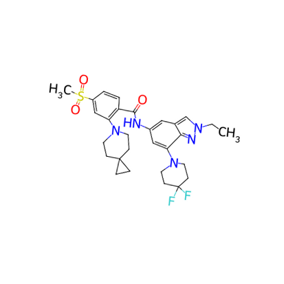 CCn1cc2cc(NC(=O)c3ccc(S(C)(=O)=O)cc3N3CCC4(CC3)CC4)cc(N3CCC(F)(F)CC3)c2n1